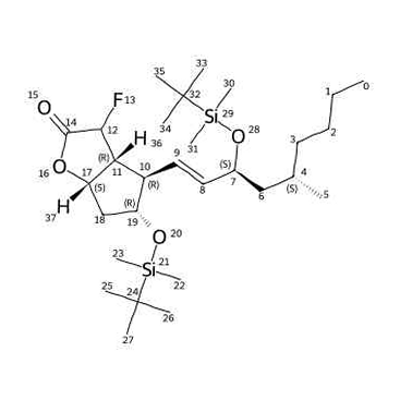 CCCC[C@H](C)C[C@@H](C=C[C@@H]1[C@H]2C(F)C(=O)O[C@H]2C[C@H]1O[Si](C)(C)C(C)(C)C)O[Si](C)(C)C(C)(C)C